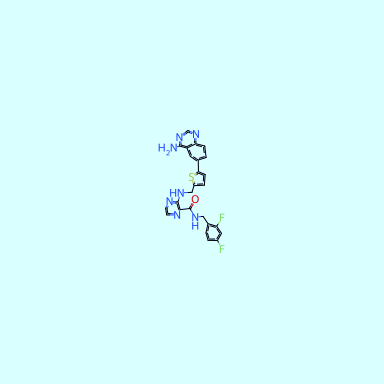 Nc1ncnc2ccc(-c3ccc(CNc4nccnc4C(=O)NCc4ccc(F)cc4F)s3)cc12